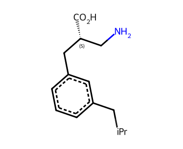 CC(C)Cc1cccc(C[C@@H](CN)C(=O)O)c1